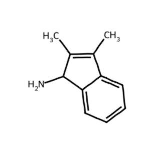 CC1=C(C)C(N)c2ccccc21